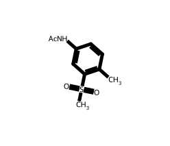 CC(=O)Nc1ccc(C)c(S(C)(=O)=O)c1